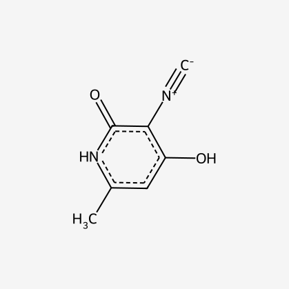 [C-]#[N+]c1c(O)cc(C)[nH]c1=O